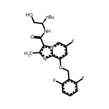 CCCC[C@H](CO)NC(=O)c1c(C)nc2c(OCc3c(F)cccc3F)cc(F)cn12